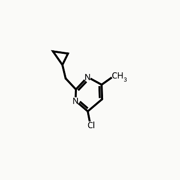 Cc1cc(Cl)nc(CC2CC2)n1